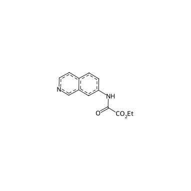 CCOC(=O)C(=O)Nc1ccc2ccncc2c1